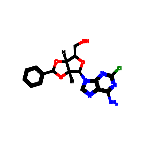 Nc1nc(Cl)nc2c1ncn2[C@@H]1O[C@H](CO)[C@H]2OC(c3ccccc3)O[C@H]21